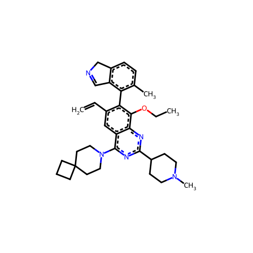 C=Cc1cc2c(N3CCC4(CCC4)CC3)nc(C3CCN(C)CC3)nc2c(OCC)c1-c1c(C)ccc2c1C=NC2